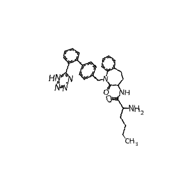 CCCCC(N)C(=O)NC1CCc2ccccc2N(Cc2ccc(-c3ccccc3-c3nnn[nH]3)cc2)C1=O